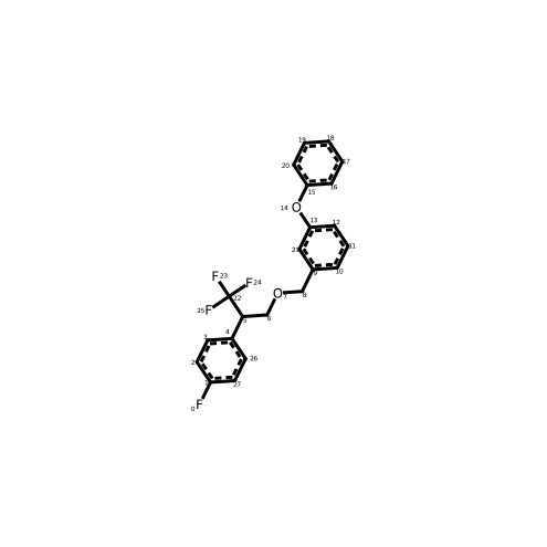 Fc1ccc(C(COCc2cccc(Oc3ccccc3)c2)C(F)(F)F)cc1